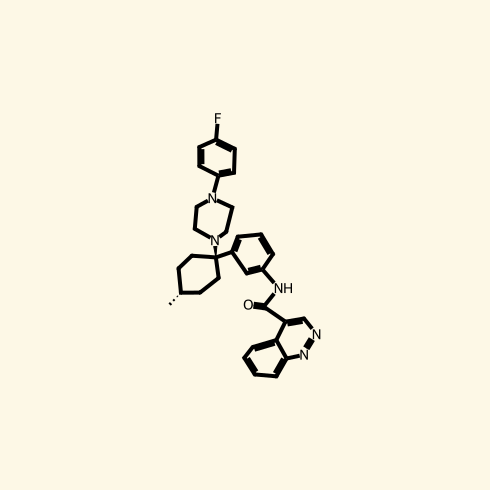 C[C@H]1CC[C@](c2cccc(NC(=O)c3cnnc4ccccc34)c2)(N2CCN(c3ccc(F)cc3)CC2)CC1